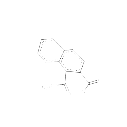 O=C([O-])c1ccc2ccccc2c1C(=O)[O-].[Ni+2]